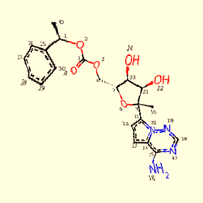 C[C@@H](OC(=O)OC[C@H]1O[C@@](C)(c2ccc3c(N)ncnn23)[C@H](O)[C@@H]1O)c1ccccc1